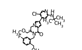 COC[C@H]1Cn2cc(-c3cc(NC(C)(C)C)ncc3Cl)cc2C(=O)N1Cc1cc(F)ccc1CO